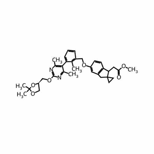 COC(=O)CC1c2ccc(OCc3cccc(-c4c(C)nc(OC[C@H]5COC(C)(C)O5)nc4C)c3C)cc2CC12CC2